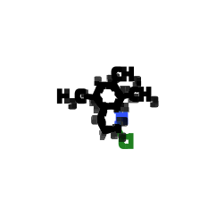 Cc1cc(C)c2ccc(Cl)nc2c1C